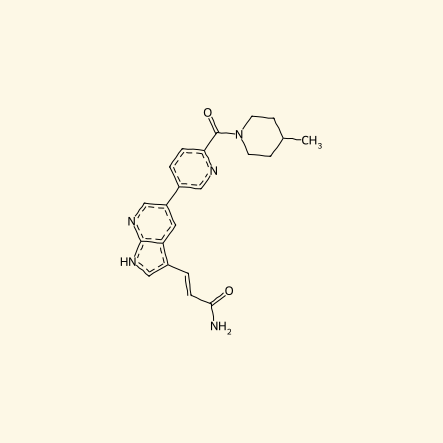 CC1CCN(C(=O)c2ccc(-c3cnc4[nH]cc(/C=C/C(N)=O)c4c3)cn2)CC1